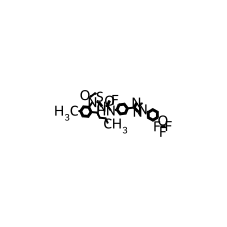 CCCCc1ccc(C)cc1N1C(=O)CS/C1=N\C(=O)Nc1ccc(-c2ncn(-c3ccc(OC(F)(F)F)cc3)n2)cc1F